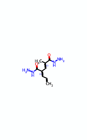 C=C/C=C(\C=C(/C)C(=O)NN)C(=O)NN